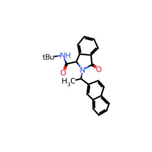 CC(c1ccc2ccccc2c1)N1C(=O)c2ccccc2C1C(=O)NC(C)(C)C